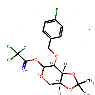 CC1(C)O[C@H]2[C@H](COC(OC(=N)C(Cl)(Cl)Cl)[C@@H]2OCc2ccc(F)cc2)O1